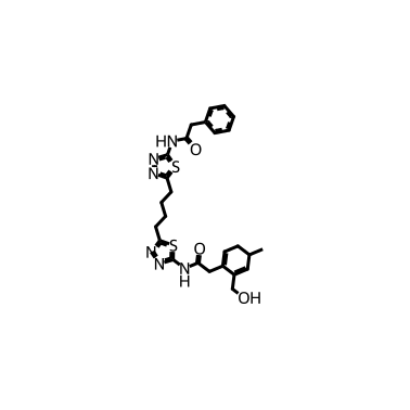 CC1C=C(CO)C(CC(=O)Nc2nnc(CCCCc3nnc(NC(=O)Cc4ccccc4)s3)s2)=CC1